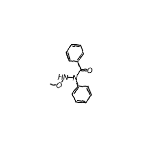 CONN(C(=O)c1ccccc1)c1ccccc1